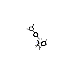 CC1CC(C)CN(c2ccc(N/C=C3/C(=O)Nc4ccc(F)cc43)cc2)C1